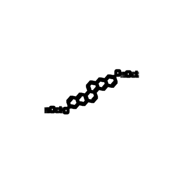 CCCCCCCCOc1ccc2cc3c(ccc4c5cc6ccc(OCCCCCCCC)cc6cc5ccc34)cc2c1